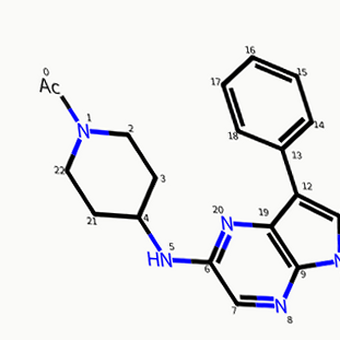 CC(=O)N1CCC(Nc2cnc3[nH]cc(-c4ccccc4)c3n2)CC1